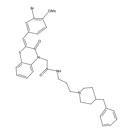 COc1ccc(C=C2Sc3ccccc3N(CC(=O)NCCCN3CCC(Cc4ccccc4)CC3)C2=O)cc1Br